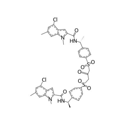 Cc1cc(Cl)c2cc(C(=O)N[C@H](C)c3ccc(S(=O)(=O)CC(=O)CS(=O)(=O)c4ccc([C@@H](C)NC(=O)c5cc6c(Cl)cc(C)cc6n5C)cc4)cc3)n(C)c2c1